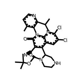 Cc1ccnc(C(C)C)c1-n1c(=O)c(C#N)c(C2CNCCN2C(=O)OC(C)(C)C)c2cc(Cl)c(Cl)nc21